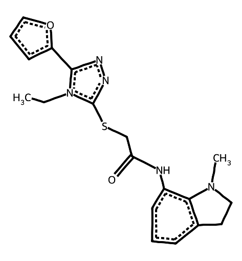 CCn1c(SCC(=O)Nc2cccc3c2N(C)CC3)nnc1-c1ccco1